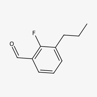 CCCc1cccc(C=O)c1F